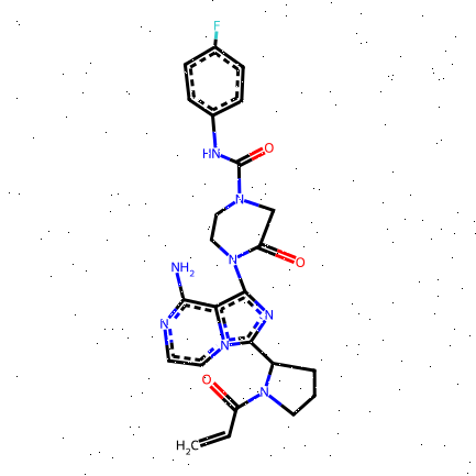 C=CC(=O)N1CCCC1c1nc(N2CCN(C(=O)Nc3ccc(F)cc3)CC2=O)c2c(N)nccn12